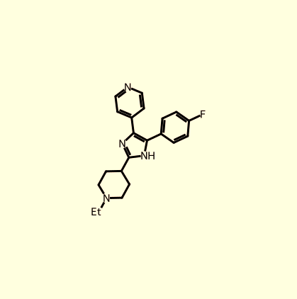 CCN1CCC(c2nc(-c3ccncc3)c(-c3ccc(F)cc3)[nH]2)CC1